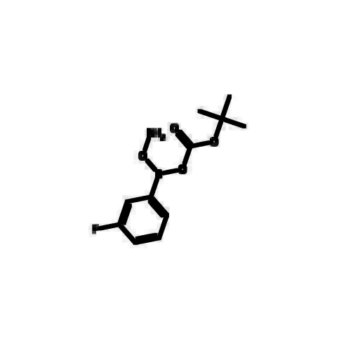 CC(C)(C)OC(=O)OB(ON)c1cccc(F)c1